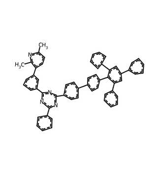 Cc1ccc(-c2cccc(-c3nc(-c4ccccc4)nc(-c4ccc(-c5ccc(-c6c(-c7ccccc7)cc(-c7ccccc7)cc6-c6ccccc6)cc5)cc4)n3)c2)c(C)n1